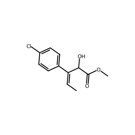 CC=C(c1ccc(Cl)cc1)C(O)C(=O)OC